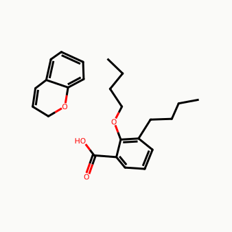 C1=Cc2ccccc2OC1.CCCCOc1c(CCCC)cccc1C(=O)O